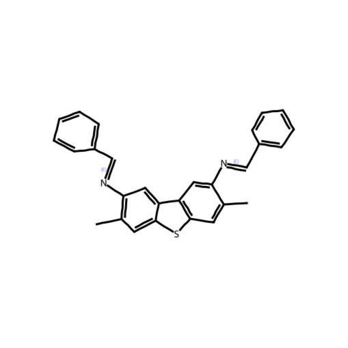 Cc1cc2sc3cc(C)c(/N=C/c4ccccc4)cc3c2cc1/N=C/c1ccccc1